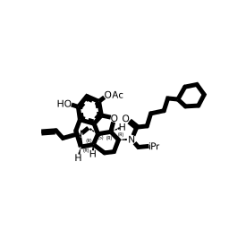 C=CCN1CC[C@]23c4c5c(O)cc(OC(C)=O)c4O[C@H]2[C@H](N(CC(C)C)C(=O)CCCCC2CCCCC2)CC[C@H]3[C@H]1C5